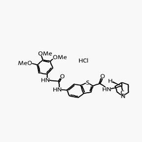 COc1cc(NC(=O)Nc2ccc3cc(C(=O)N[C@H]4CN5CCC4CC5)sc3c2)cc(OC)c1OC.Cl